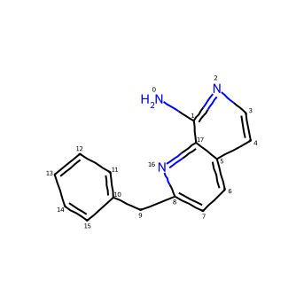 Nc1nccc2ccc(Cc3ccccc3)nc12